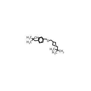 CC(C)(C)Cc1ccc(COCC2CN(CC(C)(C)C)C2)cc1